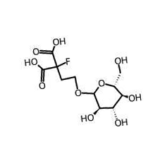 O=C(O)C(F)(CCOC1O[C@H](CO)[C@@H](O)[C@H](O)[C@H]1O)C(=O)O